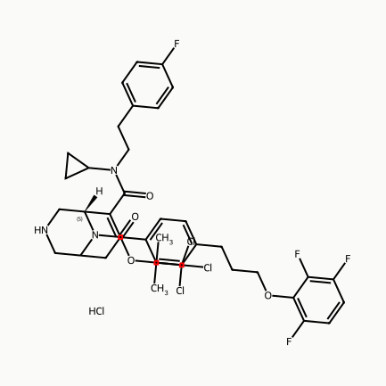 CC(C)(OC(=O)N1C2CNC[C@@H]1C(C(=O)N(CCc1ccc(F)cc1)C1CC1)=C(c1ccc(CCCOc3c(F)ccc(F)c3F)cc1)C2)C(Cl)(Cl)Cl.Cl